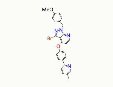 COc1ccc(Cn2nc(Br)c3c(Oc4ccc(-c5ccc(C)cn5)cc4)ccnc32)cc1